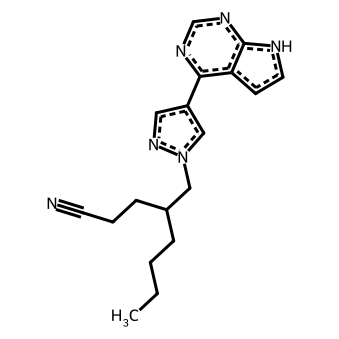 CCCCC(CCC#N)Cn1cc(-c2ncnc3[nH]ccc23)cn1